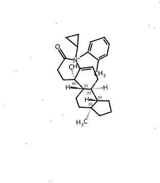 Cc1ccccc1[N+]1(C2CC2)C(=O)CC[C@@]2(C)C1=CC[C@H]1[C@@H]3CCC[C@@]3(C)CC[C@@H]12